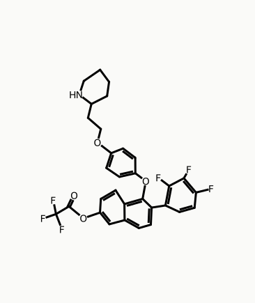 O=C(Oc1ccc2c(Oc3ccc(OCCC4CCCCN4)cc3)c(-c3ccc(F)c(F)c3F)ccc2c1)C(F)(F)F